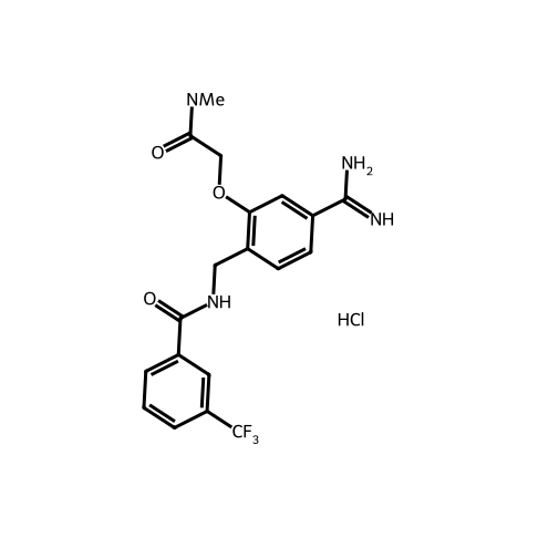 CNC(=O)COc1cc(C(=N)N)ccc1CNC(=O)c1cccc(C(F)(F)F)c1.Cl